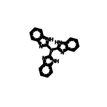 c1ccc2[nH]c(N(c3nc4ccccc4[nH]3)c3nc4ccccc4[nH]3)nc2c1